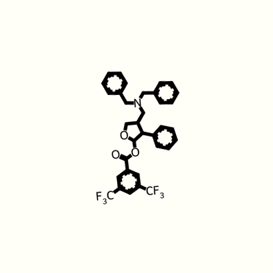 O=C(OC1OCC(CN(Cc2ccccc2)Cc2ccccc2)C1c1ccccc1)c1cc(C(F)(F)F)cc(C(F)(F)F)c1